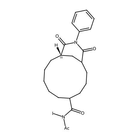 CC(=O)N(I)C(=O)C1CCCCC[C@H]2CC(CCC1)C(=O)N(c1ccccc1)C2=O